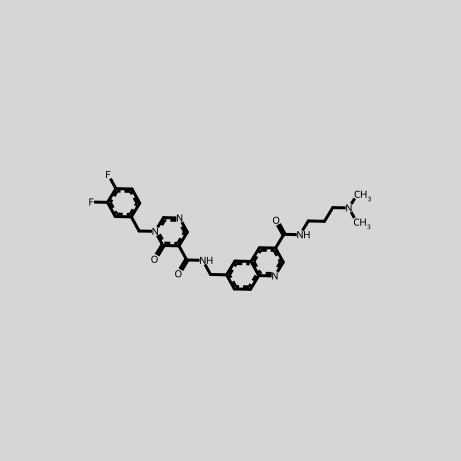 CN(C)CCCNC(=O)c1cnc2ccc(CNC(=O)c3cncn(Cc4ccc(F)c(F)c4)c3=O)cc2c1